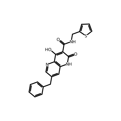 O=C(NCc1cccs1)c1c(O)c2ncc(Cc3ccccc3)cc2[nH]c1=O